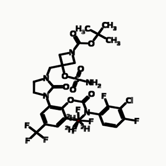 [2H]C([2H])([2H])N(C(=O)Oc1c(N2CCN(CC3(OS(N)(=O)=O)CN(C(=O)OC(C)(C)C)C3)C2=O)cc(C(F)(F)F)cc1C(F)(F)F)c1ccc(F)c(Cl)c1F